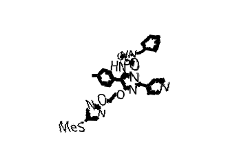 CSc1cnc(OCCOc2nc(-c3ccncc3)nc(NS(=O)(=O)NCc3ccccc3)c2-c2ccc(C)cc2)nc1